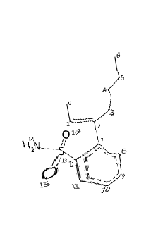 CC=C(CCCC)c1ccccc1S(N)(=O)=O